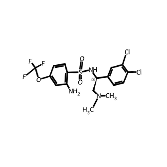 CN(C)C[C@@H](NS(=O)(=O)c1ccc(OC(F)(F)F)cc1N)c1ccc(Cl)c(Cl)c1